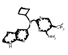 Nc1nc(N(c2cnc3[nH]ccc3c2)C2CCC2)ncc1C(F)(F)F